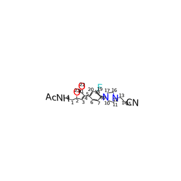 CC(=O)NCC1C=C(c2ccc(N3CCN(CCC#N)CC3)c(F)c2)C(=O)O1